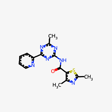 Cc1nc(NC(=O)c2sc(C)nc2C)nc(-c2ccccn2)n1